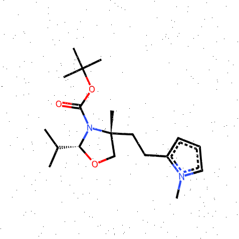 CC(C)[C@H]1OC[C@@](C)(CCc2cccn2C)N1C(=O)OC(C)(C)C